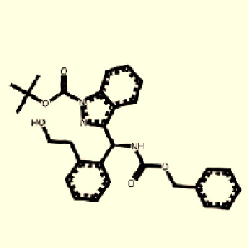 CC(C)(C)OC(=O)n1nc([C@@H](NC(=O)OCc2ccccc2)c2ccccc2CCO)c2ccccc21